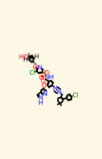 CC1(C)CCC(CN2CCN(c3ccc(C(=O)NS(=O)(=O)c4cnc(OC[C@@H]5C[C@@H]6C[C@@H]5C[C@@]6(C)O)c(Cl)c4)c(Oc4cnc5[nH]ccc5c4)c3)CC2)=C(c2ccc(Cl)cc2)C1